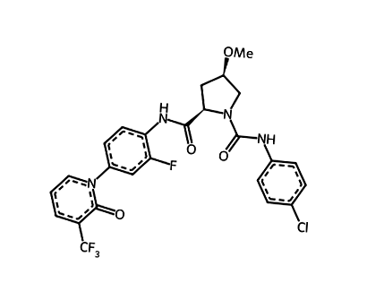 CO[C@@H]1C[C@H](C(=O)Nc2ccc(-n3cccc(C(F)(F)F)c3=O)cc2F)N(C(=O)Nc2ccc(Cl)cc2)C1